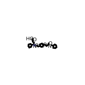 O=C(O)CC/C(=N\OCc1ccc(OCc2coc(-c3ccccc3)n2)cc1)c1ccccc1